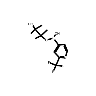 CC(C)(O)C(C)(C)OB(O)c1ccnc(C(F)(F)F)c1